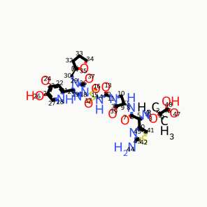 CC(C)(ON=C(C(=O)N[C@H]1CN(C(=O)NS(=O)(=O)n2nc(-c3cc(=O)c(O)c[nH]3)n(C[C@H]3CCCO3)c2=O)C1=O)c1csc(N)n1)C(=O)O